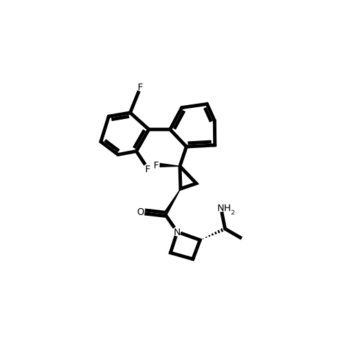 CC(N)[C@@H]1CCN1C(=O)[C@@H]1C[C@@]1(F)c1ccccc1-c1c(F)cccc1F